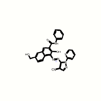 [C-]#[N+]c1cnn(-c2ccccn2)c1/N=N/c1c(O)c(C(=O)Nc2ccccc2)cc2cc(CO)ccc12